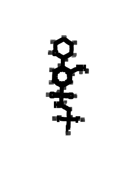 Nc1cc(S(=O)(=O)NCC(F)(F)F)ccc1C1CCCCO1